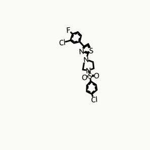 O=S(=O)(c1ccc(Cl)cc1)N1CCN(c2nc(-c3ccc(F)c(Cl)c3)cs2)CC1